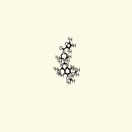 [2H]c1oc(C(=O)N2CC([2H])([2H])N(c3nc(N([2H])[2H])c4c([2H])c(OC([2H])([2H])[2H])c(OC([2H])([2H])[2H])c([2H])c4n3)C([2H])([2H])C2)c([2H])c1[2H]